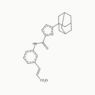 CCOC(=O)C=Cc1cccc(NC(=O)c2ccc(C34CC5CC(CC(C5)C3)C4)o2)c1